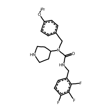 CC(C)Oc1ccc(CN(C(=O)NCc2ccc(F)c(F)c2F)C2CCNCC2)cc1